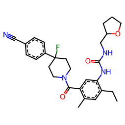 CCc1cc(C)c(C(=O)N2CCC(F)(c3ccc(C#N)cc3)CC2)cc1NC(=O)NCC1CCCO1